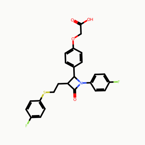 O=C(O)COc1ccc(C2C(CCSc3ccc(F)cc3)C(=O)N2c2ccc(F)cc2)cc1